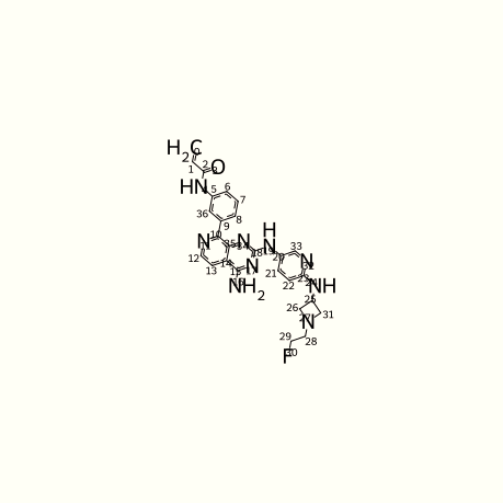 C=CC(=O)Nc1cccc(-c2nccc3c(N)nc(Nc4ccc(NC5CN(CCF)C5)nc4)nc23)c1